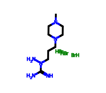 Br.Br.Br.CN1CCN(CCCN(N)C(=N)N)CC1